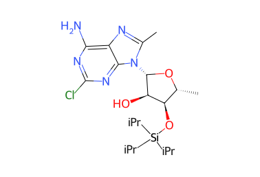 Cc1nc2c(N)nc(Cl)nc2n1[C@@H]1O[C@H](C)[C@@H](O[Si](C(C)C)(C(C)C)C(C)C)[C@H]1O